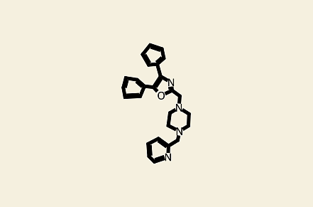 c1ccc(-c2nc(CN3CCN(Cc4ccccn4)CC3)oc2-c2ccccc2)cc1